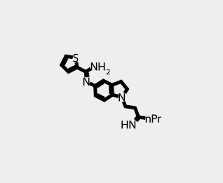 CCCC(=N)CCN1CCc2cc(N=C(N)c3cccs3)ccc21